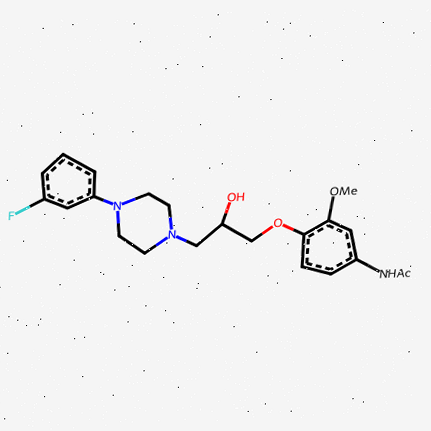 COc1cc(NC(C)=O)ccc1OCC(O)CN1CCN(c2cccc(F)c2)CC1